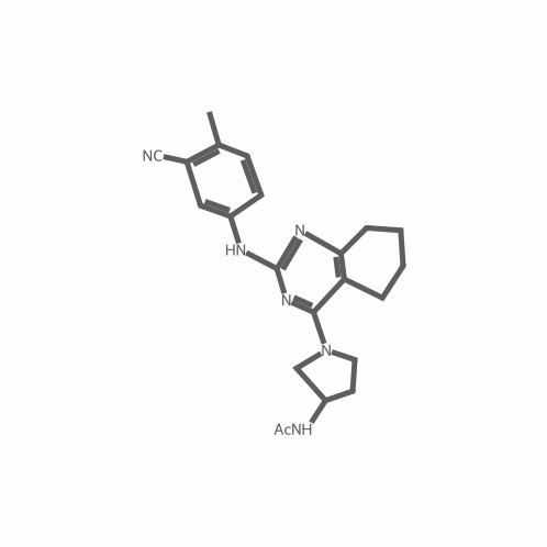 CC(=O)NC1CCN(c2nc(Nc3ccc(C)c(C#N)c3)nc3c2CCCC3)C1